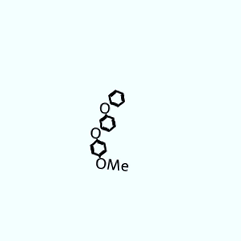 COc1ccc(Oc2cccc(Oc3ccccc3)c2)cc1